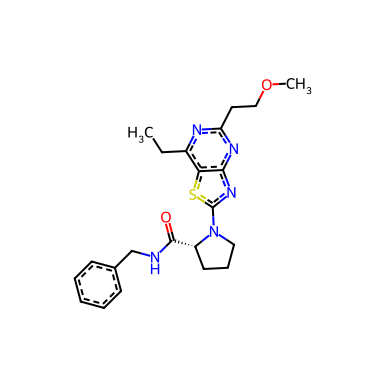 CCc1nc(CCOC)nc2nc(N3CCC[C@@H]3C(=O)NCc3ccccc3)sc12